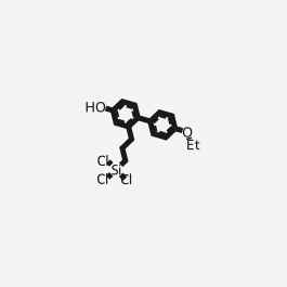 CCOc1ccc(-c2ccc(O)cc2CCC[Si](Cl)(Cl)Cl)cc1